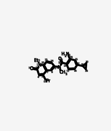 CCn1c(=O)cc(C(C)C)c2cc(N(C)C(=O)c3ccc(C4CC4)cc3N)ccc21